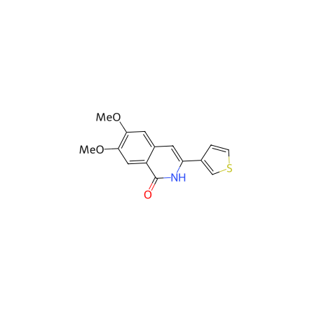 COc1cc2cc(-c3ccsc3)[nH]c(=O)c2cc1OC